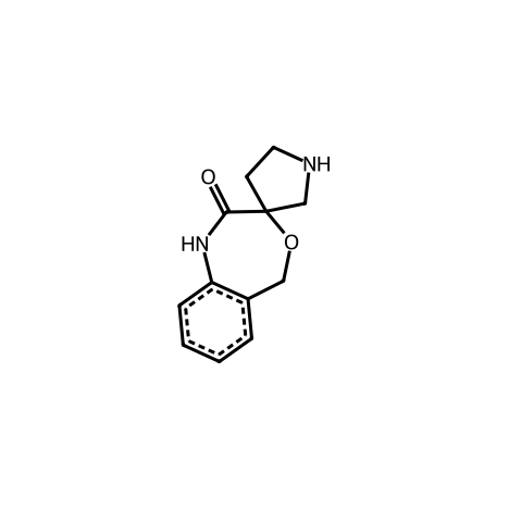 O=C1Nc2ccccc2COC12CCNC2